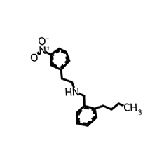 CCCCc1ccccc1CNCCc1cccc([N+](=O)[O-])c1